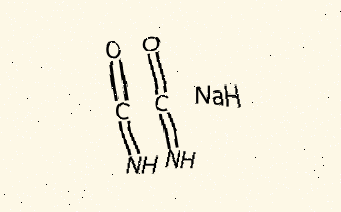 N=C=O.N=C=O.[NaH]